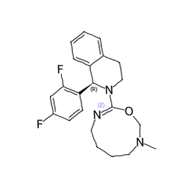 CN1CCCC/N=C(/N2CCc3ccccc3[C@@H]2c2ccc(F)cc2F)OC1